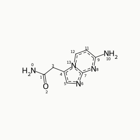 NC(=O)Cc1cnc2nc(N)ccn12